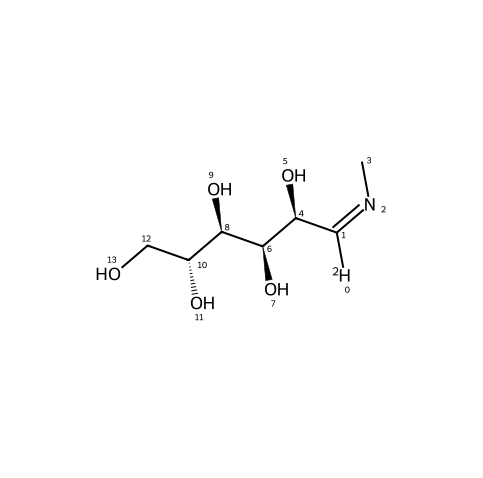 [2H]C(=NC)[C@H](O)[C@@H](O)[C@H](O)[C@H](O)CO